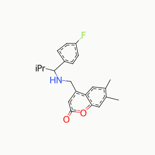 Cc1cc2oc(=O)cc(CNC(c3ccc(F)cc3)C(C)C)c2cc1C